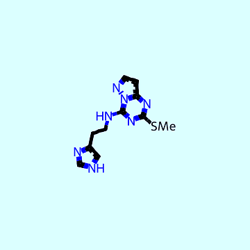 CSc1nc(NCCc2c[nH]cn2)n2nccc2n1